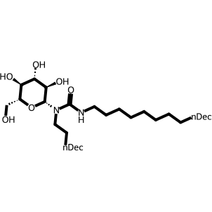 CCCCCCCCCCCCCCCCCCNC(=O)N(CCCCCCCCCCCC)[C@@H]1O[C@H](CO)[C@@H](O)[C@H](O)[C@H]1O